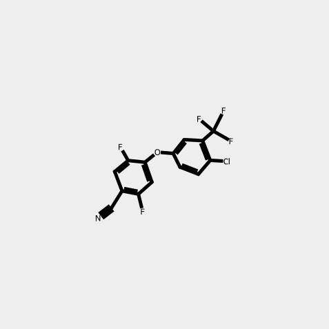 N#Cc1cc(F)c(Oc2ccc(Cl)c(C(F)(F)F)c2)cc1F